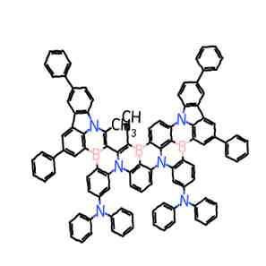 C#CC1=C2C3=C(C)n4c5ccc(-c6ccccc6)cc5c5cc(-c6ccccc6)cc(c54)B3c3ccc(N(c4ccccc4)c4ccccc4)cc3N2c2cccc3c2B1c1ccc2c4c1N3c1cc(N(c3ccccc3)c3ccccc3)ccc1B4c1cc(-c3ccccc3)cc3c4cc(-c5ccccc5)ccc4n-2c13